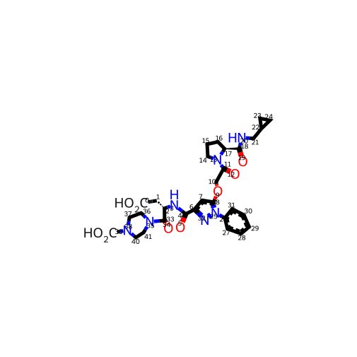 O=C(O)C[C@H](NC(=O)c1cc(OCC(=O)N2CCC[C@H]2C(=O)NCC2CC2)n(-c2ccccc2)n1)C(=O)N1CCN(C(=O)O)CC1